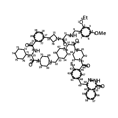 CCOc1cc(OC)ccc1CNCC(=O)N1CC(c2cccc(C(=O)N[C@@H](C(=O)N3CCN(CC4CCN(CC(=O)N5CCN(C(=O)c6cc(Cc7n[nH]c(=O)c8ccccc78)ccc6F)CC5)CC4)CC3)C3CCCCC3)c2)C1